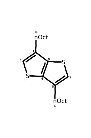 CCCCCCCCc1csc2c(CCCCCCCC)csc12